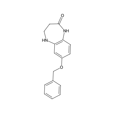 O=C1CCNc2cc(OCc3ccccc3)ccc2N1